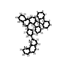 c1ccc2c(c1)-c1ccccc1C21c2ccccc2-c2c1ccc1c2c(-c2ccc(-c3ccc4ccc5cccnc5c4n3)cc2)nc2ccccc21